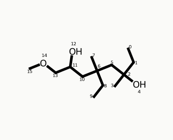 CCC(C)(O)CC(C)(CC)CC(O)COC